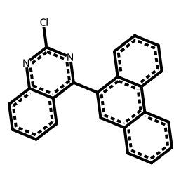 Clc1nc(-c2cc3ccccc3c3ccccc23)c2ccccc2n1